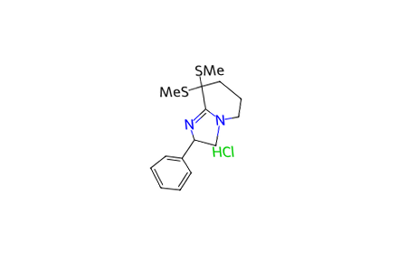 CSC1(SC)CCCN2CC(c3ccccc3)N=C21.Cl